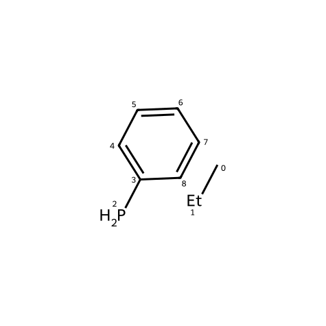 CCC.Pc1ccccc1